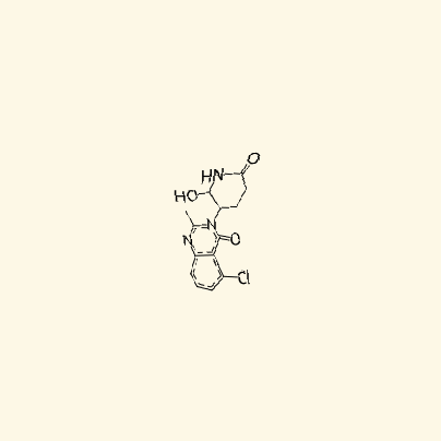 Cc1nc2cccc(Cl)c2c(=O)n1C1CCC(=O)NC1O